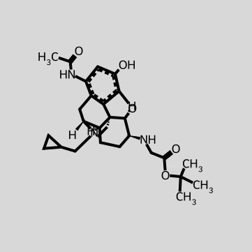 CC(=O)Nc1cc(O)c2c3c1C[C@@H]1[C@@H]4CC[C@H](NCC(=O)OC(C)(C)C)[C@H](O2)[C@]34CCN1CC1CC1